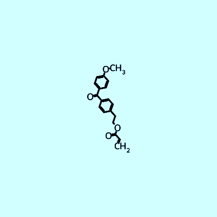 C=CC(=O)OCCc1ccc(C(=O)c2ccc(OC)cc2)cc1